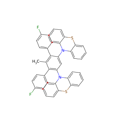 Cc1c(-c2ccc(F)cc2)c(N2c3ccccc3Sc3ccccc32)cc(N2c3ccccc3Sc3ccccc32)c1-c1ccc(F)cc1